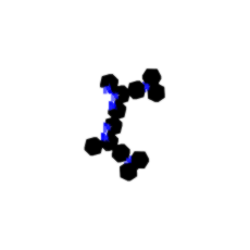 c1ccc(-c2cc(-c3ccc(-n4c5ccccc5c5ccccc54)cc3)cc(-c3ccc(-c4ccc(-c5cc(-c6ccc(-n7c8ccccc8c8ccccc87)cc6)cc(-c6ccccn6)n5)nc4)cn3)n2)cc1